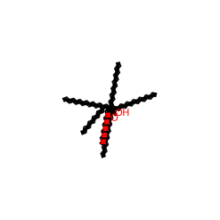 CCCCCCCCCCCCCCC(CCCCCCCCCCC)(CC(CCCCCCCCCC)CCCCCCCCCCCC)C(CCCCCCCCCCCCCC)(CCCCCCCCCCCCCC)C(=O)O